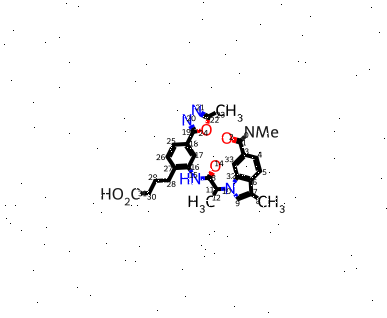 CNC(=O)c1ccc2c(C)cn(C(C)C(=O)Nc3cc(-c4nnc(C)o4)ccc3CCCC(=O)O)c2c1